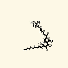 CCCCCCCCC=CC=C(C)C(=O)c1c(O)cc(C(C)CCC=CNC(=O)O)oc1=O